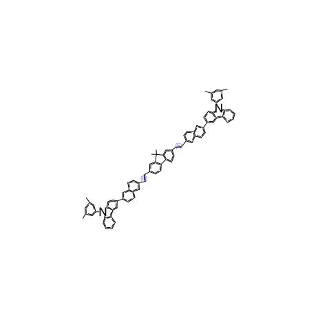 Cc1cc(C)cc(-n2c3ccccc3c3cc(-c4ccc5cc(/C=C/c6ccc7c(c6)C(C)(C)c6cc(/C=C/c8ccc9cc(-c%10ccc%11c(c%10)c%10ccccc%10n%11-c%10cc(C)cc(C)c%10)ccc9c8)ccc6-7)ccc5c4)ccc32)c1